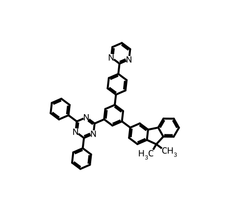 CC1(C)c2ccccc2-c2cc(-c3cc(-c4ccc(-c5ncccn5)cc4)cc(-c4nc(-c5ccccc5)nc(-c5ccccc5)n4)c3)ccc21